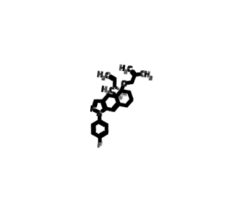 C=CC[C@]1(OCC(=C)C)CCCC2=Cc3c(cnn3-c3ccc(F)cc3)C[C@@]21C